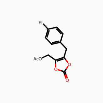 CCc1ccc(Cc2oc(=O)oc2COC(C)=O)cc1